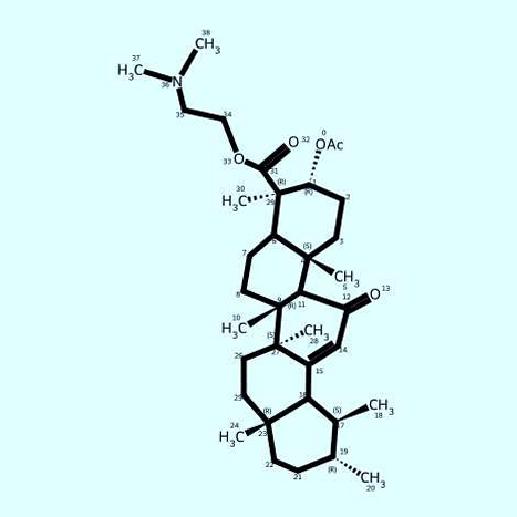 CC(=O)O[C@@H]1CC[C@@]2(C)C(CC[C@]3(C)C2C(=O)C=C2C4[C@@H](C)[C@H](C)CC[C@]4(C)CC[C@]23C)[C@@]1(C)C(=O)OCCN(C)C